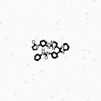 O=C(Nc1ccccc1)Nc1cccc(-c2nc3ccccn3c2-c2ccnc(Nc3cccc(N4CCCC4=O)c3)n2)c1